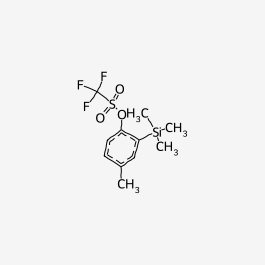 Cc1ccc(OS(=O)(=O)C(F)(F)F)c([Si](C)(C)C)c1